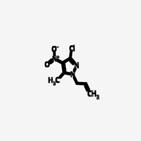 C=CCn1nc(Cl)c([N+](=O)[O-])c1C